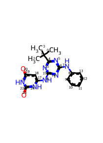 CC(C)(C)c1nc(Nc2ccccc2)nc(Nc2cc(=O)[nH]c(=O)[nH]2)n1